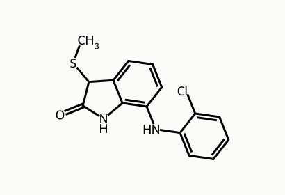 CSC1C(=O)Nc2c(Nc3ccccc3Cl)cccc21